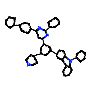 c1ccc(-c2ccc(-c3cc(-c4cc(-c5ccncc5)cc(-c5ccc6c(c5)c5ccccc5n6-c5ccccc5)c4)nc(-c4ccccc4)n3)cc2)cc1